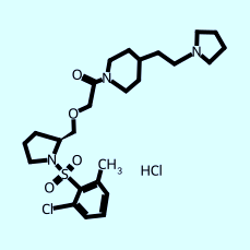 Cc1cccc(Cl)c1S(=O)(=O)N1CCC[C@H]1COCC(=O)N1CCC(CCN2CCCC2)CC1.Cl